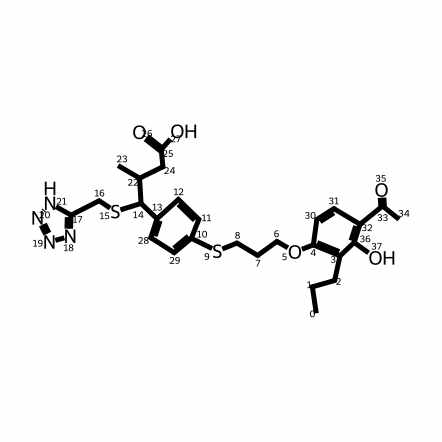 CCCc1c(OCCCSc2ccc(C(SCc3nnn[nH]3)C(C)CC(=O)O)cc2)ccc(C(C)=O)c1O